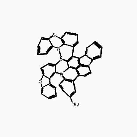 CC(C)(C)c1ccc(N2c3cc4sc5ccccc5c4c4c3B(c3ccc5oc6ccccc6c5c32)N2c3ccccc3Sc3cccc-4c32)c(-c2ccccc2)c1